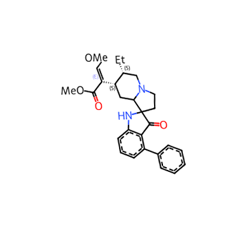 CC[C@@H]1CN2CCC3(Nc4cccc(-c5ccccc5)c4C3=O)C2C[C@@H]1/C(=C\OC)C(=O)OC